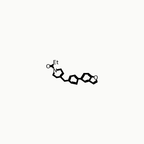 CCC(=O)N1CC=C(Cc2ccc(-c3ccc4occc4c3)cc2)CC1